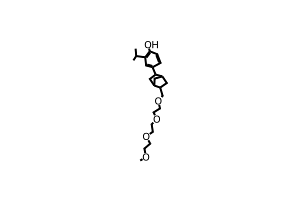 COCCOCCOCCOCC1CC2CC1CC2c1ccc(O)c(C(C)C)c1